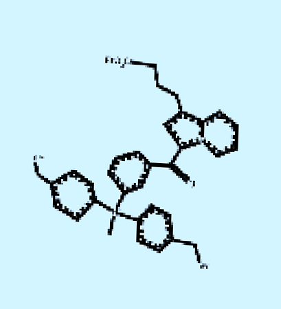 CCOC(=O)CCCc1cc(C(=O)c2cccc([N+](C)(c3ccc(CC(C)C)cc3)c3ccc(CC(C)C)cc3)c2)n2ccccc12